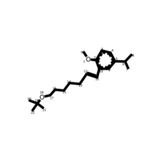 COc1ccc(C(C)C)cc1/C=C/CCCCCOC(C)(C)C